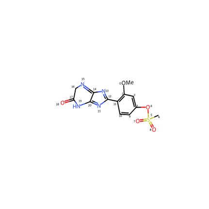 COc1cc(OS(C)(=O)=O)ccc1C1=NC2=NCC(=O)NC2=N1